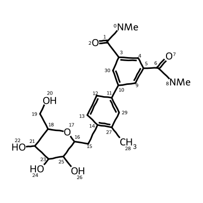 CNC(=O)c1cc(C(=O)NC)cc(-c2ccc(CC3OC(CO)C(O)C(O)C3O)c(C)c2)c1